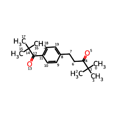 CC(C)(C)C(=O)CCc1ccc(C(=O)C(C)(C)C)cc1